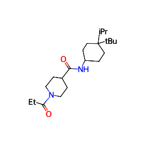 CCC(=O)N1CCC(C(=O)NC2CCC(C(C)C)(C(C)(C)C)CC2)CC1